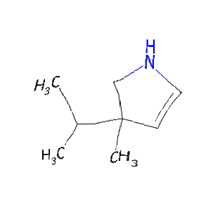 CC(C)C1(C)C=CNC1